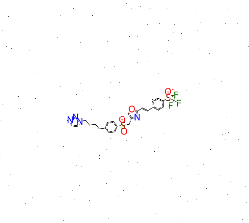 O=S(=O)(Cc1coc(C=Cc2ccc([S+]([O-])C(F)(F)F)cc2)n1)c1ccc(CCCCn2ccnn2)cc1